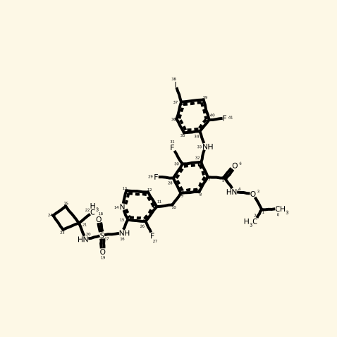 CC(C)ONC(=O)c1cc(Cc2ccnc(NS(=O)(=O)NC3(C)CCC3)c2F)c(F)c(F)c1Nc1ccc(I)cc1F